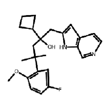 COc1ccc(F)cc1C(C)(C)CC(O)(Cc1cc2ccncc2[nH]1)C1CCC1